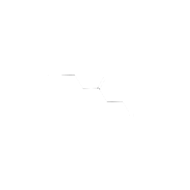 O=CCCC(=O)CCC=O